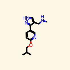 CNCc1c[nH]nc1-c1ccc(OCC(C)C)nc1